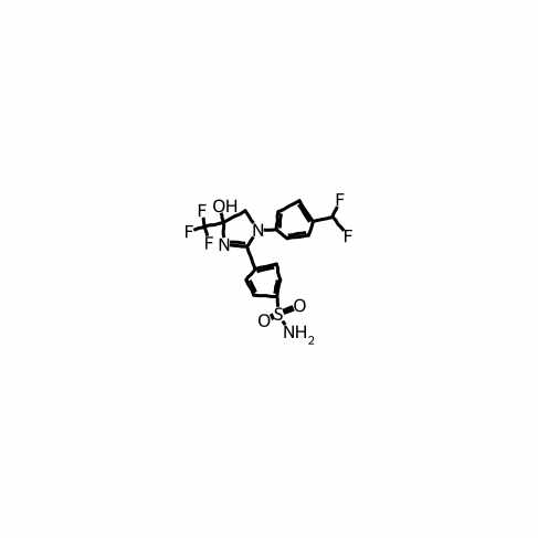 NS(=O)(=O)c1ccc(C2=NC(O)(C(F)(F)F)CN2c2ccc(C(F)F)cc2)cc1